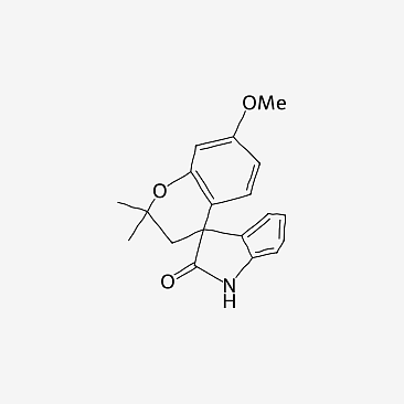 COc1ccc2c(c1)OC(C)(C)CC21C(=O)Nc2ccccc21